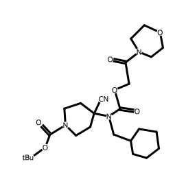 CC(C)(C)OC(=O)N1CCC(C#N)(N(CC2CCCCC2)C(=O)OCC(=O)N2CCOCC2)CC1